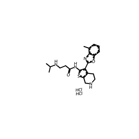 Cc1cccc2oc(-c3c(NC(=O)CCNC(C)C)sc4c3CCNC4)nc12.Cl.Cl